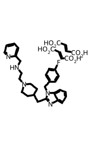 Fc1ccc(Cn2c(CC3CCN(CCNCc4ccccn4)CC3)nc3ccccc32)cc1.O=C(O)C=CC(=O)O.O=C(O)C=CC(=O)O